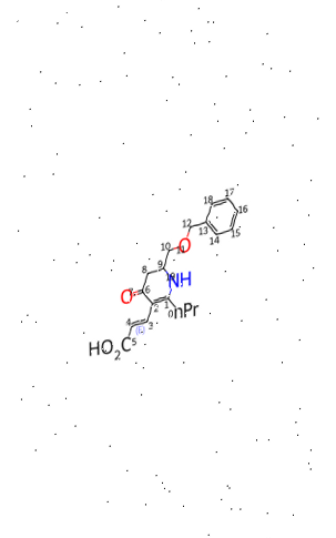 CCCC1=C(/C=C/C(=O)O)C(=O)CC(COCc2ccccc2)N1